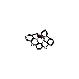 c1cc2c3c(c1)-c1cccc[n+]1[N+]31c3c(ccc4c3-n3c5c(cncc5c5ncc[n+]1c53)O4)O2